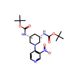 CC(C)(C)OC(=O)N[C@@H]1C[C@H](NC(=O)OC(C)(C)C)CN(c2ccncc2[N+](=O)[O-])C1